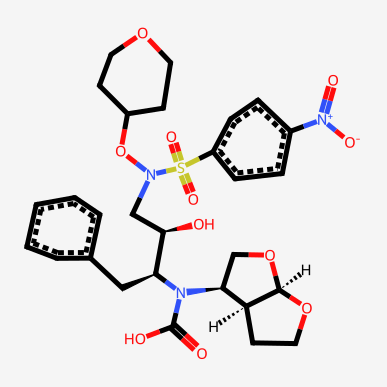 O=C(O)N([C@H]1CO[C@H]2OCC[C@H]21)[C@@H](Cc1ccccc1)[C@H](O)CN(OC1CCOCC1)S(=O)(=O)c1ccc([N+](=O)[O-])cc1